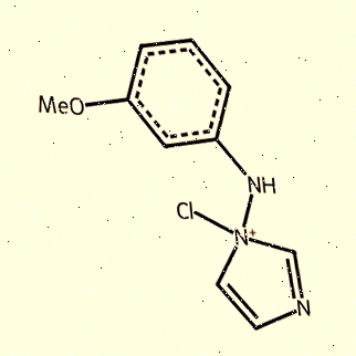 COc1cccc(N[N+]2(Cl)C=CN=C2)c1